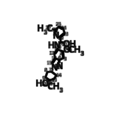 COc1cc2nn([C@H]3CC[C@](C)(O)CC3)cc2cc1NC(O)c1cccc(C)n1